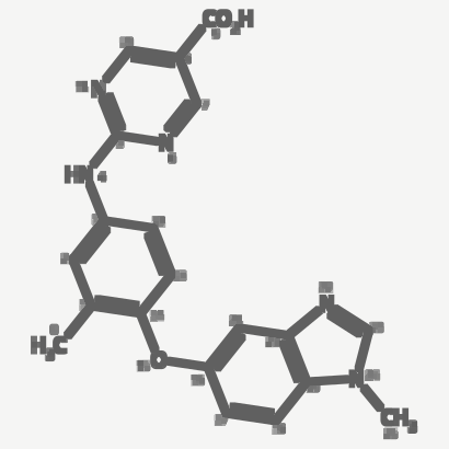 Cc1cc(Nc2ncc(C(=O)O)cn2)ccc1Oc1ccc2c(c1)ncn2C